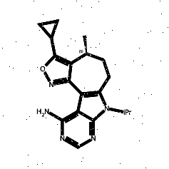 CC(C)n1c2c(c3c(N)ncnc31)-c1noc(C3CC3)c1[C@@H](C)CC2